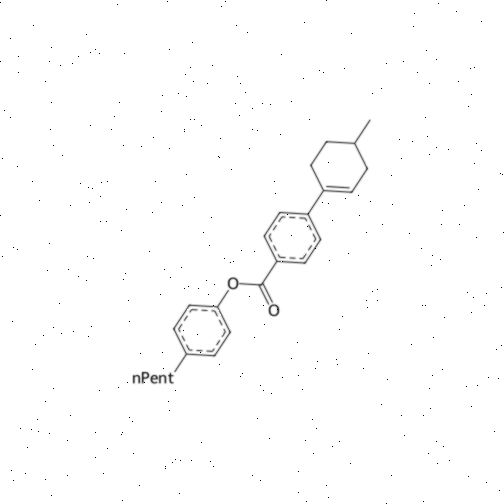 CCCCCc1ccc(OC(=O)c2ccc(C3=CCC(C)CC3)cc2)cc1